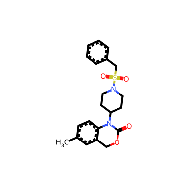 Cc1ccc2c(c1)COC(=O)N2C1CCN(S(=O)(=O)Cc2ccccc2)CC1